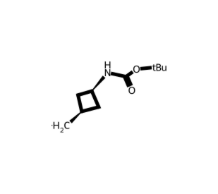 [CH2][C@H]1C[C@@H](NC(=O)OC(C)(C)C)C1